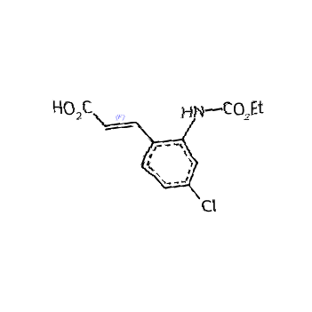 CCOC(=O)Nc1cc(Cl)ccc1/C=C/C(=O)O